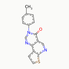 Cc1ccc(-n2cnc3c(cnc4sccc43)c2=O)cc1